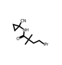 CC(C)CCC(C)(C)C(=O)NC1(C#N)CC1